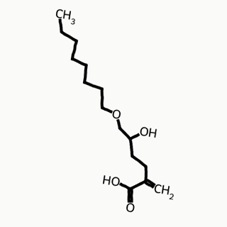 C=C(CCC(O)COCCCCCCCC)C(=O)O